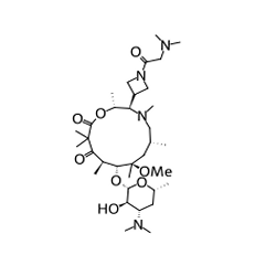 CO[C@]1(C)C[C@@H](C)CN(C)[C@H](C2CN(C(=O)CN(C)C)C2)[C@@H](C)OC(=O)C(C)(C)C(=O)[C@H](C)[C@H]1O[C@@H]1O[C@H](C)C[C@H](N(C)C)[C@H]1O